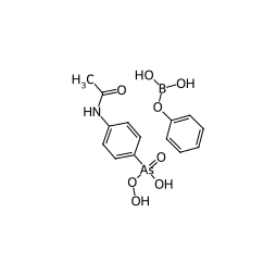 CC(=O)Nc1ccc([As](=O)(O)OO)cc1.OB(O)Oc1ccccc1